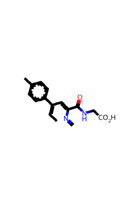 C=N/C(=C\C(=C/C)c1ccc(C)cc1)C(=O)NCC(=O)O